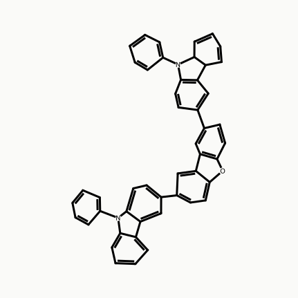 C1=CC2c3cc(-c4ccc5oc6ccc(-c7ccc8c(c7)c7ccccc7n8-c7ccccc7)cc6c5c4)ccc3N(c3ccccc3)C2C=C1